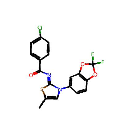 Cc1cn(-c2ccc3c(c2)OC(F)(F)O3)/c(=N/C(=O)c2ccc(Cl)cc2)s1